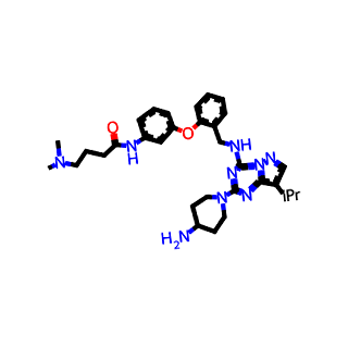 CC(C)c1cnn2c(NCc3ccccc3Oc3cccc(NC(=O)CCCN(C)C)c3)nc(N3CCC(N)CC3)nc12